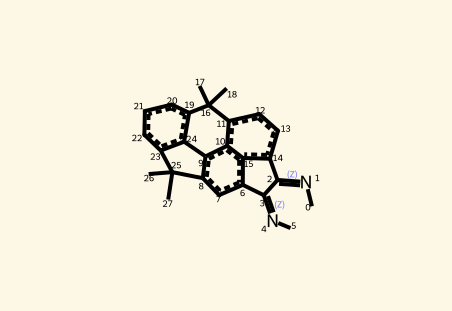 C/N=C1\C(=N/C)c2cc3c4c5c(ccc1c25)C(C)(C)c1cccc(c1-4)C3(C)C